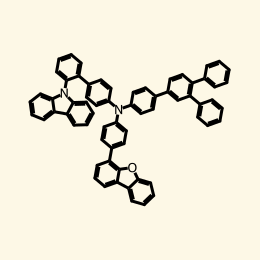 c1ccc(-c2ccc(-c3ccc(N(c4ccc(-c5ccccc5-n5c6ccccc6c6ccccc65)cc4)c4ccc(-c5cccc6c5oc5ccccc56)cc4)cc3)cc2-c2ccccc2)cc1